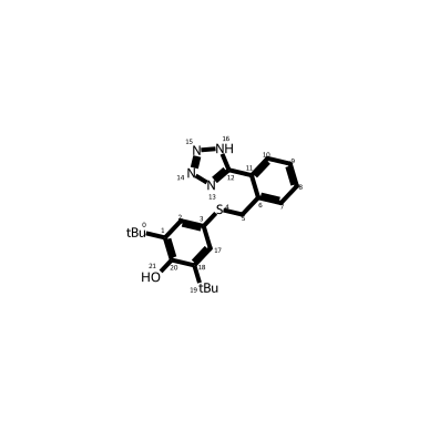 CC(C)(C)c1cc(SCc2ccccc2-c2nnn[nH]2)cc(C(C)(C)C)c1O